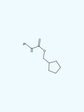 C=C(NC(C)C)OCC1CCCC1